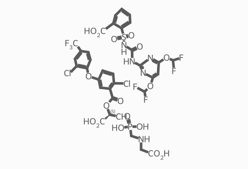 C[C@H](OC(=O)c1cc(Oc2ccc(C(F)(F)F)cc2Cl)ccc1Cl)C(=O)O.O=C(Nc1nc(OC(F)F)cc(OC(F)F)n1)NS(=O)(=O)c1ccccc1C(=O)O.O=C(O)CNCP(=O)(O)O